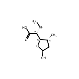 CN[C@@H](C(=O)O)[C@@H]1OC(O)C[C@H]1C